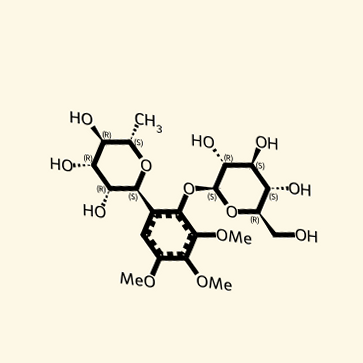 COc1cc([C@@H]2O[C@@H](C)[C@H](O)[C@@H](O)[C@H]2O)c(O[C@@H]2O[C@H](CO)[C@@H](O)[C@H](O)[C@H]2O)c(OC)c1OC